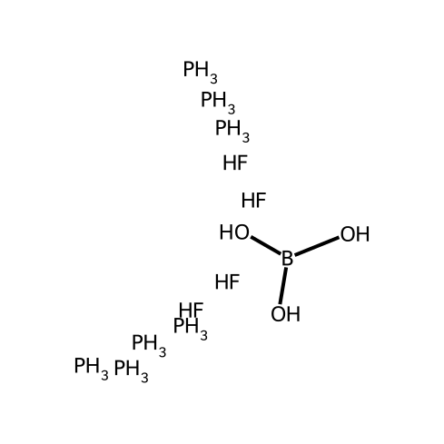 F.F.F.F.OB(O)O.P.P.P.P.P.P.P